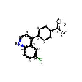 CC(=O)[C@H](C)C1CCC(c2ccnc3ccc(F)cc23)CC1